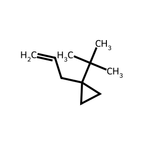 C=CCC1(C(C)(C)C)CC1